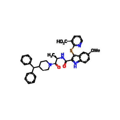 COc1ccc2[nH]c(C(=O)N[C@H](C)C(=O)N3CCC(C(c4ccccc4)c4ccccc4)CC3)c(Sc3ncccc3C(=O)O)c2c1